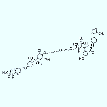 Cc1ncsc1-c1ccc(CNC(=O)C2CC(O)CN2C(=O)[C@@H](NC(=O)COCCCOCCCCCOc2c(Cl)cc(C(C)(C)c3ccc(OCc4cnc(NS(C)(=O)=O)nc4)cc3)cc2C#N)C(C)(C)C)cc1